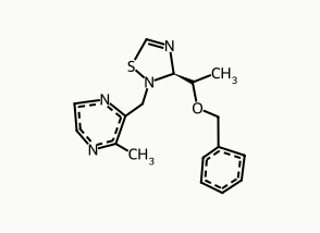 Cc1nccnc1CN1SC=N[C@H]1C(C)OCc1ccccc1